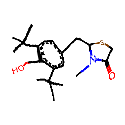 CN1C(=O)CSC1Cc1cc(C(C)(C)C)c(O)c(C(C)(C)C)c1